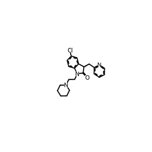 O=C1[C](Cc2ccccn2)c2cc(Cl)ccc2N1CCN1CCCCC1